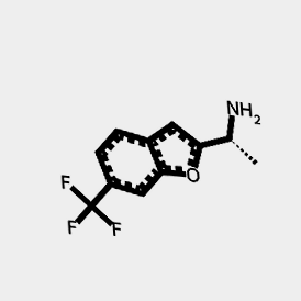 C[C@@H](N)c1cc2ccc(C(F)(F)F)cc2o1